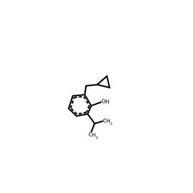 CC(C)c1cccc(CC2CC2)c1O